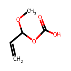 C=CC(OC)OC(=O)O